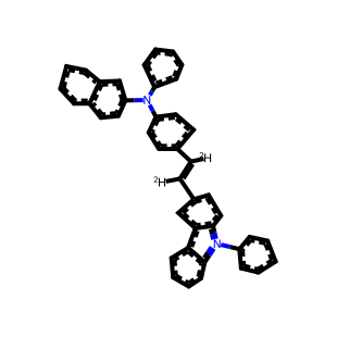 [2H]/C(=C(/[2H])c1ccc2c(c1)c1ccccc1n2-c1ccccc1)c1ccc(N(c2ccccc2)c2ccc3ccccc3c2)cc1